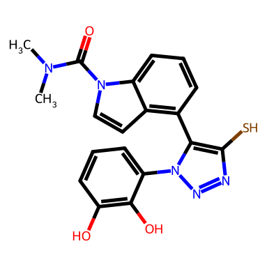 CN(C)C(=O)n1ccc2c(-c3c(S)nnn3-c3cccc(O)c3O)cccc21